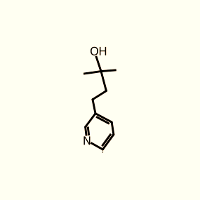 CC(C)(O)CCc1cc[c]nc1